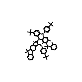 CC(C)(C)c1ccc(N2c3ccc(C(C)(C)C)cc3B3c4sc5cc6c(cc5c4N(c4ccc(C(C)(C)C)cc4)c4c3c2cc2c4C(C)(C)c3ccccc3S2)-c2ccccc2C6(C)C)cc1